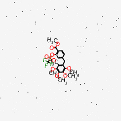 COC(=O)c1ccc(Cc2c(C)c(OC)c(OC)c(OC)c2OC)cc1OS(=O)(=O)C(F)(F)F